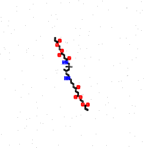 C=CC(=O)OCCOC(=O)CCC(=O)CCCCNCCC(C)CC(C)(C)CNC(=O)CCC(=O)OCCOC(=O)C=C